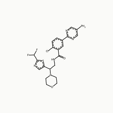 O=C(NCC(c1cnc(C(F)F)s1)N1CCOCC1)c1cc(-c2ncc(P)cn2)ccc1Cl